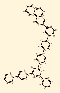 c1ccc(-c2ccc(-c3nc(-c4ccccc4)nc(-c4ccc(-c5ccc(-c6cccc(-c7ccc8c(ccc9ccncc98)c7)c6)cc5)cc4)n3)cc2)cc1